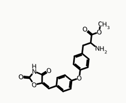 COC(=O)C(N)Cc1ccc(Oc2ccc(C=C3OC(=O)NC3=O)cc2)cc1